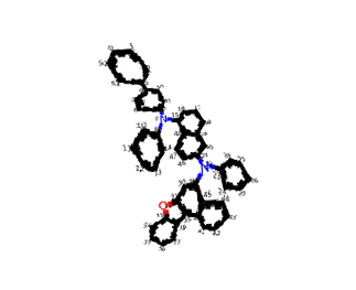 c1ccc(-c2ccc(N(c3ccccc3)c3cccc4cc(N(c5ccccc5)c5cc6oc7ccccc7c6c6ccccc56)ccc34)cc2)cc1